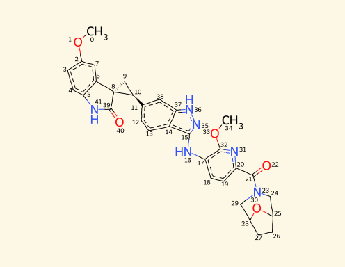 COc1ccc2c(c1)[C@]1(C[C@H]1c1ccc3c(Nc4ccc(C(=O)N5CC6CCC(C5)O6)nc4OC)n[nH]c3c1)C(=O)N2